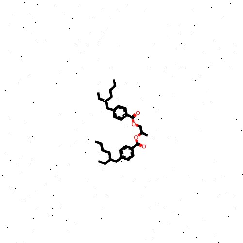 CCCCC(CC)Cc1ccc(C(=O)OCC(C)OC(=O)c2ccc(CC(CC)CCCC)cc2)cc1